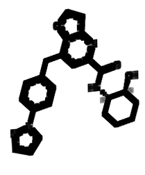 O=C(N[C@H]1CCCC[C@@H]1O)c1cc(Cc2ccc(-n3cccn3)cc2)c2occc2n1